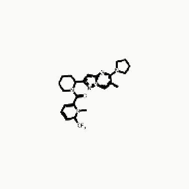 Cc1cn2nc(C3CCCCN3C(=O)C3=CC=CC(C(F)(F)F)N3C)cc2nc1N1CCCC1